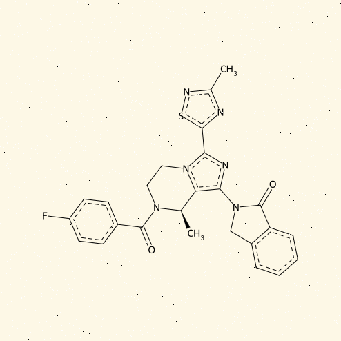 Cc1nsc(-c2nc(N3Cc4ccccc4C3=O)c3n2CCN(C(=O)c2ccc(F)cc2)[C@@H]3C)n1